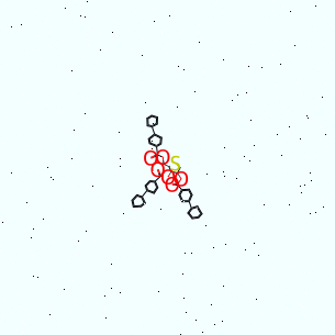 O=C(OC[C@H]1SC[C@@H](OC(=O)c2ccc(-c3ccccc3)cc2)[C@H]1OC(=O)c1ccc(-c2ccccc2)cc1)c1ccc(-c2ccccc2)cc1